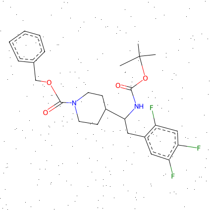 CC(C)(C)OC(=O)NC(Cc1cc(F)c(F)cc1F)C1CCN(C(=O)OCc2ccccc2)CC1